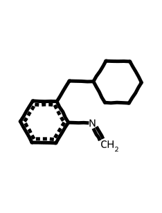 C=Nc1ccccc1CC1CCCCC1